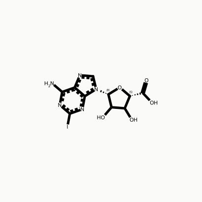 Nc1nc(I)nc2c1ncn2[C@@H]1O[C@H](C(=O)O)C(O)C1O